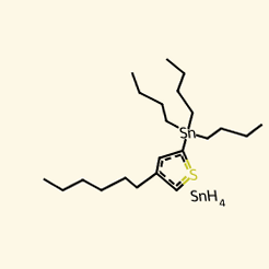 CCCCCCc1cs[c]([Sn]([CH2]CCC)([CH2]CCC)[CH2]CCC)c1.[SnH4]